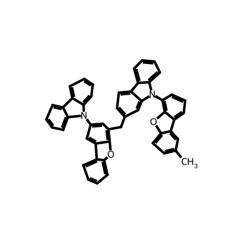 Cc1ccc2oc3c(-n4c5ccccc5c5ccc(Cc6cc(-n7c8ccccc8c8ccccc87)cc7c6oc6ccccc67)cc54)cccc3c2c1